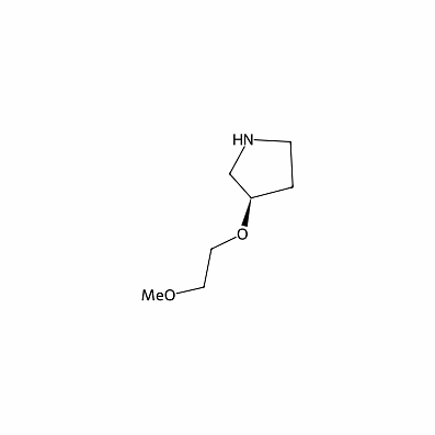 COCCO[C@@H]1CCNC1